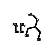 CCCCOC(CO)CO.O=[N+]([O-])O.O=[N+]([O-])O